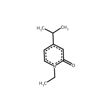 CCn1ccc(C(C)C)cc1=O